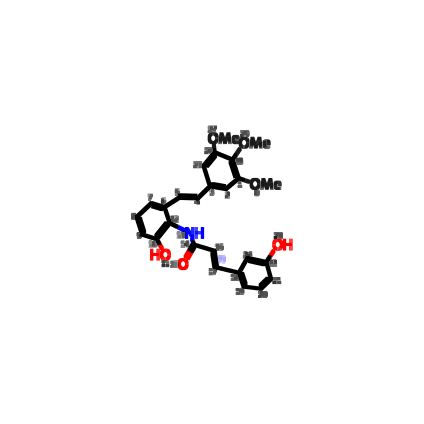 COc1cc(C=Cc2cccc(O)c2NC(=O)/C=C/c2cccc(O)c2)cc(OC)c1OC